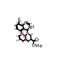 COC(=O)C1CCCN(C2NC=Nc3c(F)ccc(N4CCCCC4)c32)C1